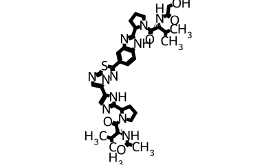 CC(=O)N[C@H](C(=O)N1CCCC1c1ncc(-c2cnc3sc(-c4ccc5[nH]c(C6CCCN6C(=O)[C@@H](NC(=O)CO)C(C)C)nc5c4)nn23)[nH]1)C(C)C